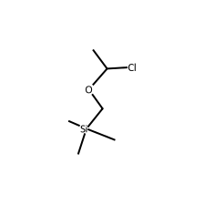 CC(Cl)OC[Si](C)(C)C